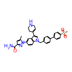 Cc1cc(C(N)=O)nn1-c1ccc2c(c1)c(C1=CCNCC1)cn2Cc1ccc(-c2ccc(S(C)(=O)=O)cc2)cc1